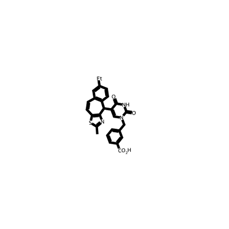 CCc1ccc2c(c1)C=Cc1sc(C)nc1C2c1cn(Cc2cccc(C(=O)O)c2)c(=O)[nH]c1=O